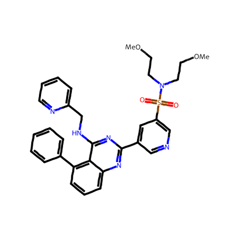 COCCN(CCOC)S(=O)(=O)c1cncc(-c2nc(NCc3ccccn3)c3c(-c4ccccc4)cccc3n2)c1